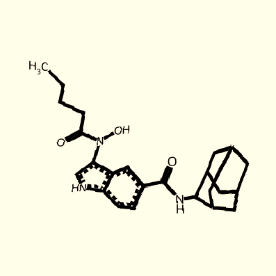 CCCCC(=O)N(O)c1c[nH]c2ccc(C(=O)NC3C4CC5CC(C4)CC3C5)cc12